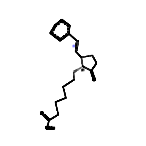 COC(=O)CCCCCC[C@H]1C(=O)CCC1/C=C/c1ccccc1